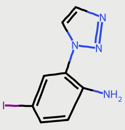 Nc1ccc(I)cc1-n1ccnn1